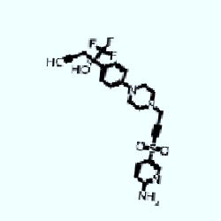 C#CC[C@@](O)(c1ccc(N2CCN(CC#CS(=O)(=O)c3ccc(N)nc3)CC2)cc1)C(F)(F)F